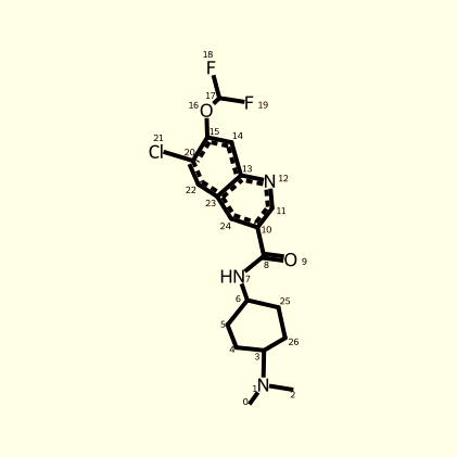 CN(C)C1CCC(NC(=O)c2cnc3cc(OC(F)F)c(Cl)cc3c2)CC1